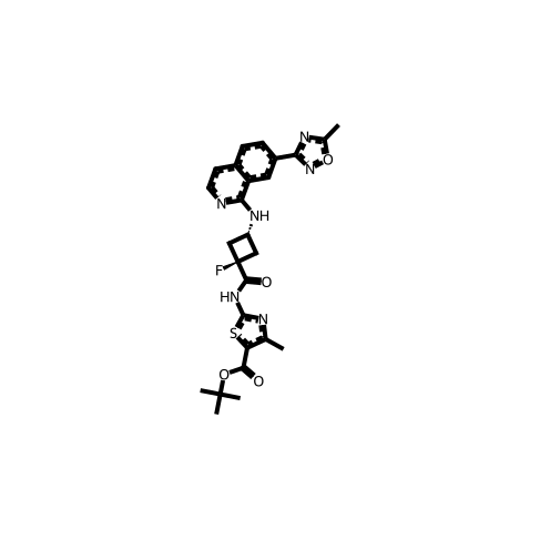 Cc1nc(-c2ccc3ccnc(N[C@H]4C[C@@](F)(C(=O)Nc5nc(C)c(C(=O)OC(C)(C)C)s5)C4)c3c2)no1